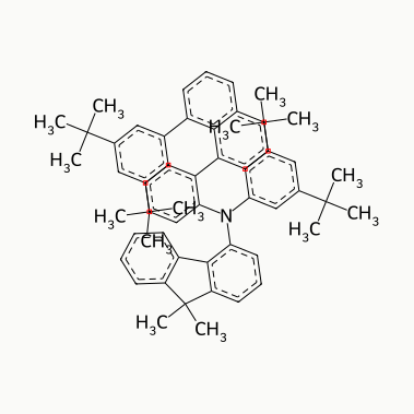 CC(C)(C)c1cc(-c2cccc3cccc(-c4ccccc4N(c4cc(C(C)(C)C)cc(C(C)(C)C)c4)c4cccc5c4-c4ccccc4C5(C)C)c23)cc(C(C)(C)C)c1